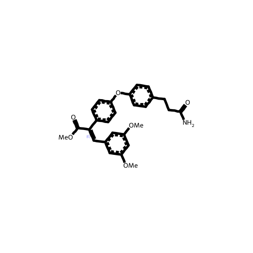 COC(=O)/C(=C/c1cc(OC)cc(OC)c1)c1ccc(Oc2ccc(CCC(N)=O)cc2)cc1